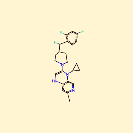 Cc1cc2c(cn1)N(C1CC1)C(N1CCC(C(F)c3ccc(F)cc3F)CC1)=CN2